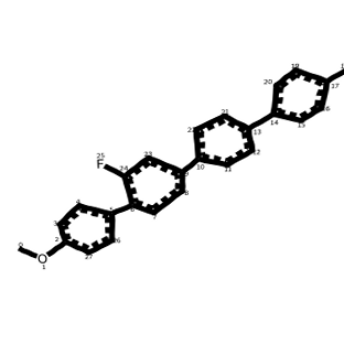 COc1ccc(-c2ccc(-c3ccc(-c4ccc(C)cc4)cc3)cc2F)cc1